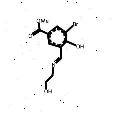 COC(=O)c1cc(Br)c(O)c(/C=N/CCO)c1